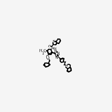 Cc1cc(NC(=O)c2cnc3ccccc3c2)c(-c2nnn(-c3ccc(CCN4CCc5ccccc5C4)cc3)n2)cc1OCc1ccccc1